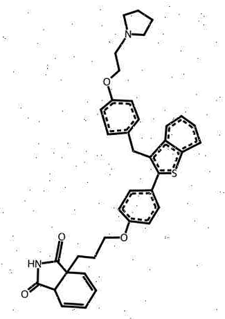 O=C1NC(=O)C2(CCCOc3ccc(-c4sc5ccccc5c4Cc4ccc(OCCN5CCCC5)cc4)cc3)C=CC=CC12